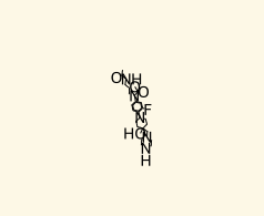 CC(=O)NCC1CN(c2ccc(N3CCC(O)(CN4CCNCC4)CC3)c(F)c2)C(=O)O1